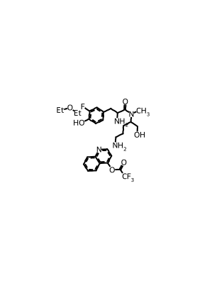 CCOCC.CN(C(=O)C(N)Cc1ccc(O)c(F)c1)C(CO)CCCN.O=C(Oc1ccnc2ccccc12)C(F)(F)F